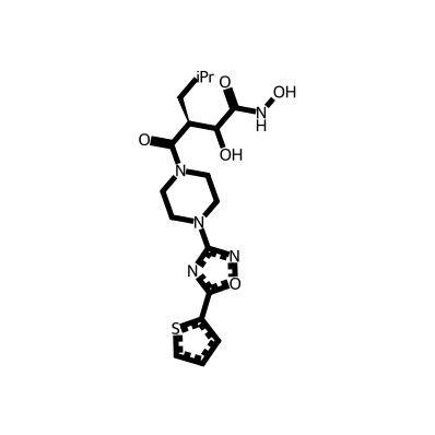 CC(C)C[C@H](C(=O)N1CCN(c2noc(-c3cccs3)n2)CC1)C(O)C(=O)NO